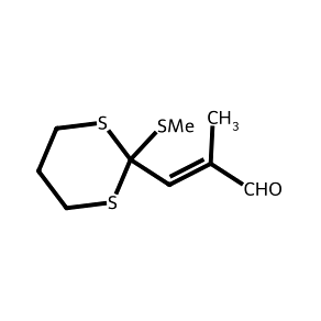 CSC1(/C=C(\C)C=O)SCCCS1